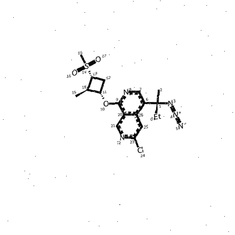 CC[C@@](C)(N=[N+]=[N-])c1cnc(O[C@H]2C[C@@H](S(C)(=O)=O)[C@@H]2C)c2cnc(Cl)cc12